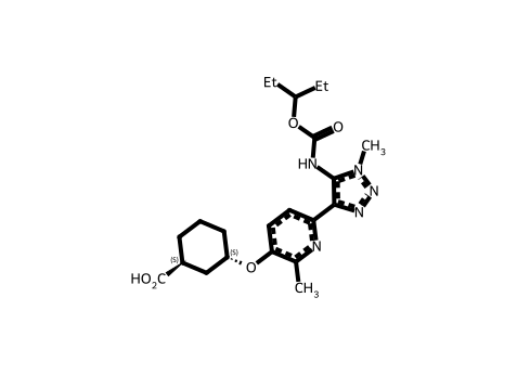 CCC(CC)OC(=O)Nc1c(-c2ccc(O[C@H]3CCC[C@H](C(=O)O)C3)c(C)n2)nnn1C